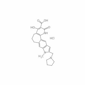 Cl.Cn1c(CN2CCCC2)cc2cc3c(cc21)CCCc1c-3[nH]c(=O)c(C(=O)O)c1O